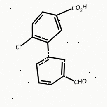 O=Cc1cccc(-c2cc(C(=O)O)ccc2Cl)c1